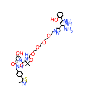 Cc1ncsc1-c1ccc(CNC(=O)[C@@H]2C[C@@H](O)CN2C(=O)[C@@H](NC(=O)COCCOCCOCCOCCn2cc(C3=C(N)NNC(c4ccccc4O)=C3)cn2)C(C)(C)C)cc1